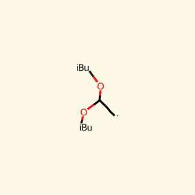 [CH2]C(OC(C)CC)OC(C)CC